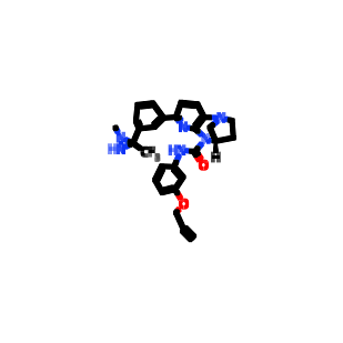 C#CCOc1cccc(NC(=O)N2c3nc(-c4cccc(C5(C(F)(F)F)NN5C)c4)ccc3N3CC[C@H]2C3)c1